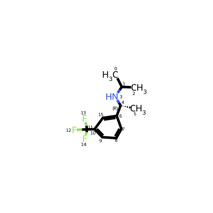 CC(C)N[C@H](C)c1cccc(C(F)(F)F)c1